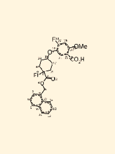 CCC1(C(=O)OCc2cccc3ccccc23)CCC(Oc2cc(C(=O)O)c(OC)cc2F)CC1